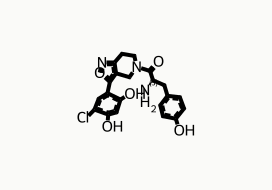 N[C@@H](Cc1ccc(O)cc1)C(=O)N1CCc2noc(-c3cc(Cl)c(O)cc3O)c2C1